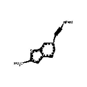 CCCCCC#Cc1ccc2cc(C(=O)O)sc2c1